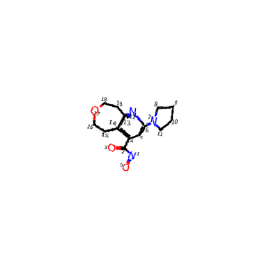 O=NC(=O)c1cc(N2CCCC2)nc2c1CCOCC2